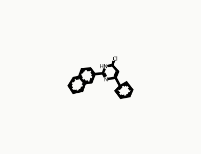 ClC1C=C(c2ccccc2)N=C(c2ccc3ccccc3c2)N1